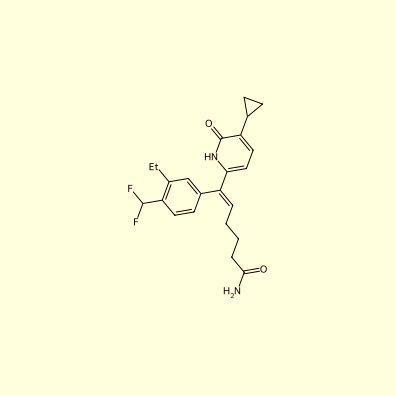 CCc1cc(/C(=C\CCCC(N)=O)c2ccc(C3CC3)c(=O)[nH]2)ccc1C(F)F